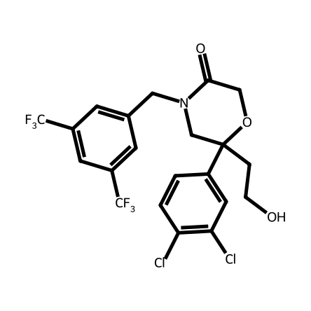 O=C1COC(CCO)(c2ccc(Cl)c(Cl)c2)CN1Cc1cc(C(F)(F)F)cc(C(F)(F)F)c1